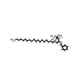 CCCCCCCCCCCCCCCCCCCOCC(CC(C)(C)C)OCc1ccccc1